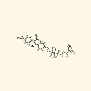 C=C(C)C(=O)OCC(F)(F)C(F)(F)C(F)(F)COc1ccc2cc(-c3ccc(CCCCC)cc3OC)c(=O)oc2c1